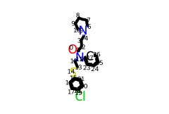 O=C(CCCN1CCCCC1)N(CCSc1ccc(Cl)cc1)c1ccccc1